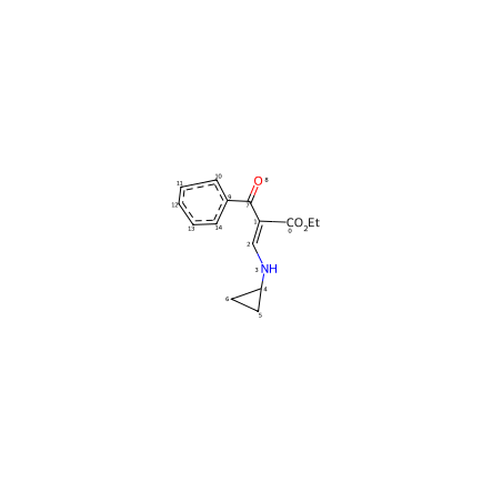 CCOC(=O)C(=CNC1CC1)C(=O)c1ccccc1